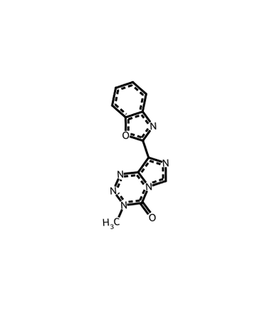 Cn1nnc2c(-c3nc4ccccc4o3)ncn2c1=O